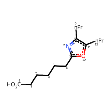 CCCc1nc(CCCCCC(=O)O)oc1CCC